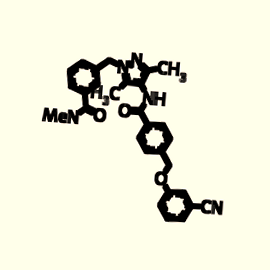 CNC(=O)c1cccc(Cn2nc(C)c(NC(=O)c3ccc(COc4cccc(C#N)c4)cc3)c2C)c1